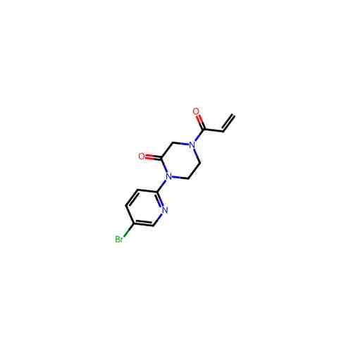 C=CC(=O)N1CCN(c2ccc(Br)cn2)C(=O)C1